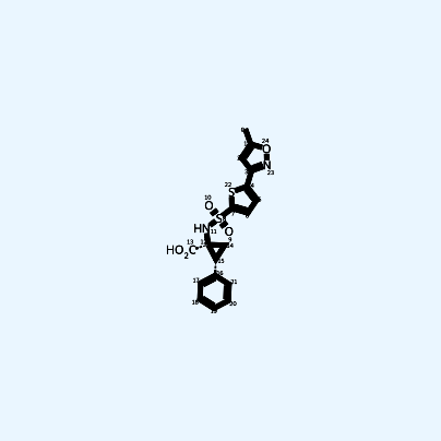 Cc1cc(-c2ccc(S(=O)(=O)N[C@@]3(C(=O)O)C[C@@H]3c3ccccc3)s2)no1